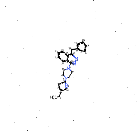 CCc1ccc(N2CCN(c3nnc(Cc4ccccc4)c4ccccc34)CC2)nc1